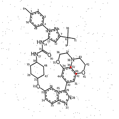 Cc1ccc(-n2nc(C(C)(C)C)cc2NC(=O)NC2CCC(Oc3ccc4nnc(-c5cccc(OCCN6CCOCC6)c5)n4c3)CC2)cc1